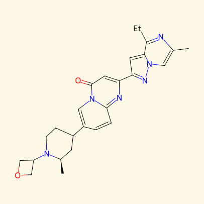 CCc1nc(C)cn2nc(-c3cc(=O)n4cc(C5CCN(C6COC6)[C@H](C)C5)ccc4n3)cc12